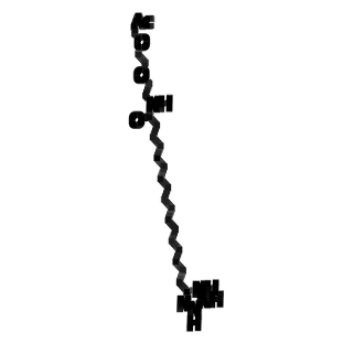 CC(=O)COCCOCCNC(=O)CCCCCCCCCCCCCCCCC1=NNNN1